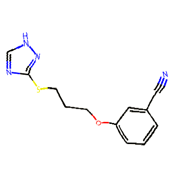 N#Cc1cccc(OCCCSc2nc[nH]n2)c1